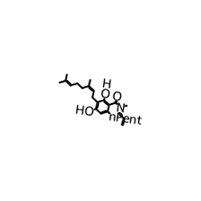 C=CCN(C)C(=O)c1c(CCCCC)cc(O)c(CC=C(C)CCC=C(C)C)c1O